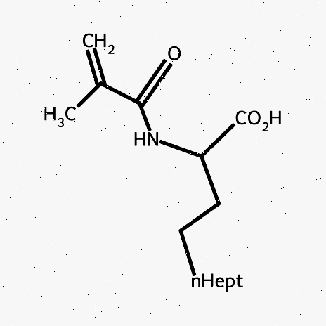 C=C(C)C(=O)NC(CCCCCCCCC)C(=O)O